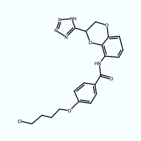 O=C(Nc1cccc2c1OC(c1nnn[nH]1)CO2)c1ccc(OCCCCCl)cc1